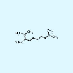 CCCCCCC(CCCCCN(C)C)N(C)C